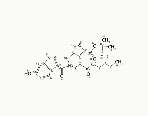 CCCCOC(=O)CCN(Cc1csc(C(=O)OC(C)(C)C)c1)C(=O)c1csc2cc(O)ccc12